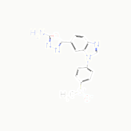 C[S+]([O-])c1ccc(-n2cnc3ccc(-c4nnc(N)o4)cc32)cc1